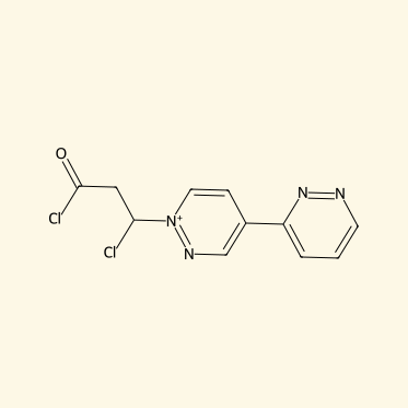 O=C(Cl)CC(Cl)[n+]1ccc(-c2cccnn2)cn1